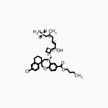 CCCCOC(=O)c1ccc2c(c1)N(C[C@@H]1CC[C@H]1[C@@H](O)/C=C/C[C@H](C)CS(N)(=O)=O)CC1(CCCc3cc(Cl)ccc31)CO2